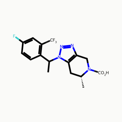 CC(c1ccc(F)cc1C(F)(F)F)n1nnc2c1C[C@@H](C)N(C(=O)O)C2